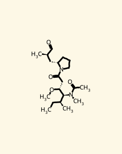 CC[C@H](C)[C@@H]([C@@H](CC(=O)N1CCC[C@H]1C[C@@H](C)C=O)OC)N(C)C(C)=O